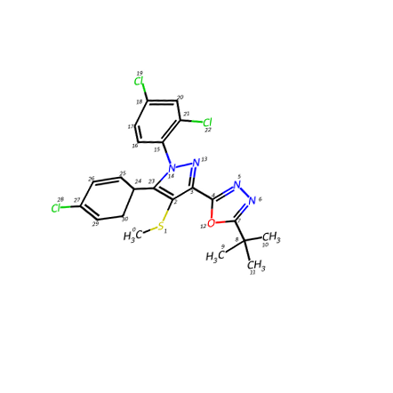 CSc1c(-c2nnc(C(C)(C)C)o2)nn(-c2ccc(Cl)cc2Cl)c1C1C=CC(Cl)=CC1